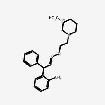 Cc1ccccc1C(/C=N/OCCN1CCC[C@@H](C(=O)O)C1)c1ccccc1